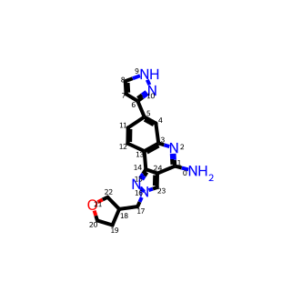 Nc1nc2cc(-c3cc[nH]n3)ccc2c2nn(CC3CCOC3)cc12